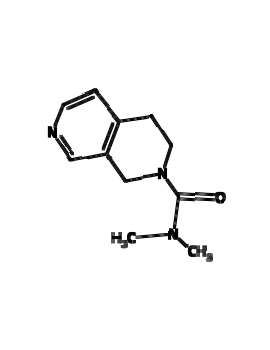 CN(C)C(=O)N1CCc2ccncc2C1